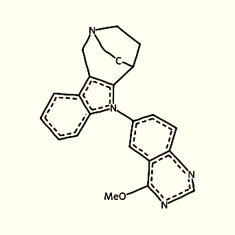 COc1ncnc2ccc(-n3c4c(c5ccccc53)CN3CCC4CC3)cc12